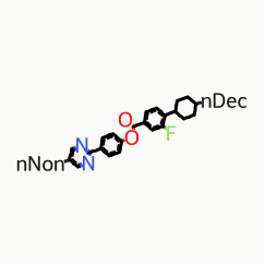 CCCCCCCCCCC1CCC(c2ccc(C(=O)Oc3ccc(-c4ncc(CCCCCCCCC)cn4)cc3)cc2F)CC1